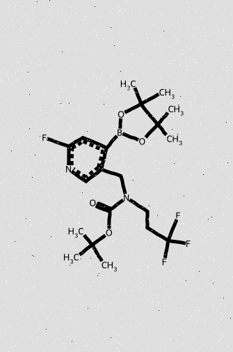 CC(C)(C)OC(=O)N(CCC(F)(F)F)Cc1cnc(F)cc1B1OC(C)(C)C(C)(C)O1